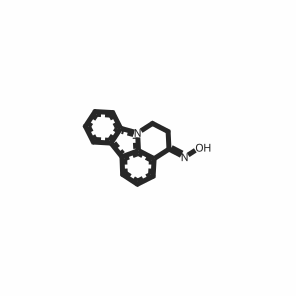 O/N=C1\CCn2c3ccccc3c3cccc1c32